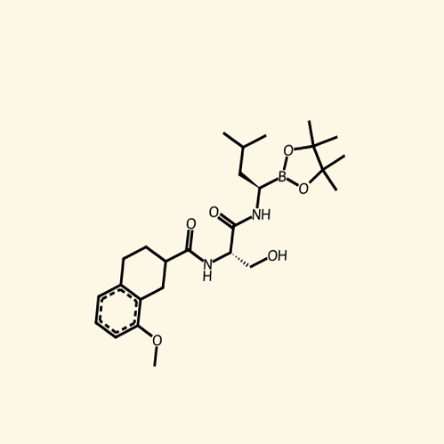 COc1cccc2c1CC(C(=O)N[C@@H](CO)C(=O)N[C@@H](CC(C)C)B1OC(C)(C)C(C)(C)O1)CC2